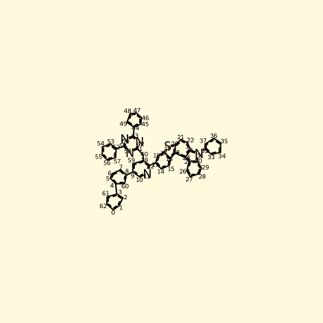 c1ccc(-c2cccc(-c3cnc(-c4ccc5c(c4)sc4ccc6c(c7ccccc7n6-c6ccccc6)c45)c(Cc4nc(-c5ccccc5)nc(-c5ccccc5)n4)c3)c2)cc1